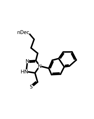 CCCCCCCCCCCCCC1=NNC(C=S)N1c1ccc2ccccc2c1